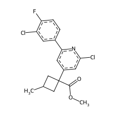 COC(=O)C1(c2cc(Cl)nc(-c3ccc(F)c(Cl)c3)c2)CC(C)C1